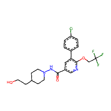 O=C(NN1CCC(CCO)CC1)c1cnc(OCC(F)(F)F)c(-c2ccc(Cl)cc2)c1